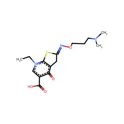 CCn1cc(C(=O)O)c(=O)c2c1SC(=NOCCCN(C)C)C2